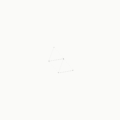 C1[C]2C3CC123